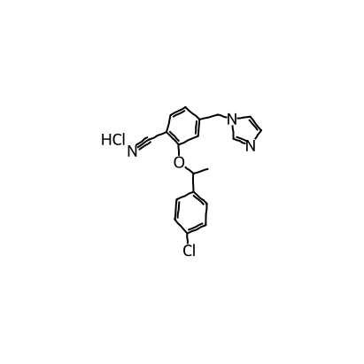 CC(Oc1cc(Cn2ccnc2)ccc1C#N)c1ccc(Cl)cc1.Cl